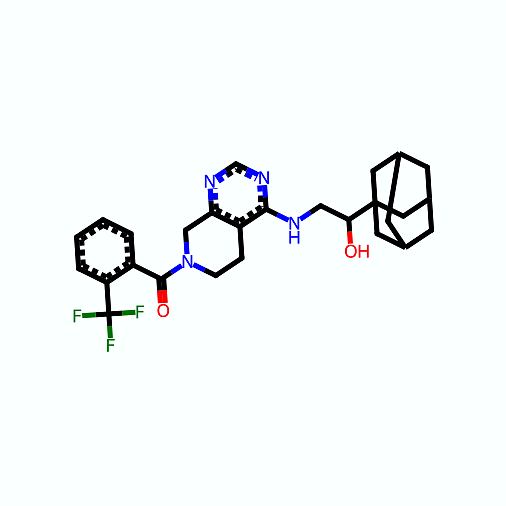 O=C(c1ccccc1C(F)(F)F)N1CCc2c(ncnc2NCC(O)C23CC4CC(CC(C4)C2)C3)C1